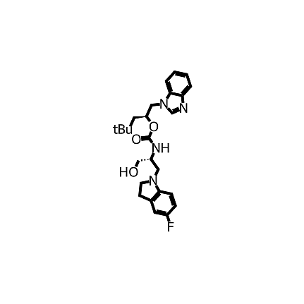 CC(C)(C)C[C@@H](Cn1cnc2ccccc21)OC(=O)N[C@@H](CO)CN1CCc2cc(F)ccc21